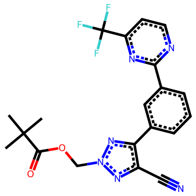 CC(C)(C)C(=O)OCn1nc(C#N)c(-c2cccc(-c3nccc(C(F)(F)F)n3)c2)n1